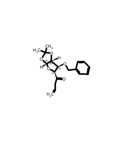 C=CCC(=O)[C@H]1O[C@@H]2OC(C)(C)O[C@@H]2[C@H]1OCc1ccccc1